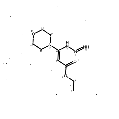 CCOC(=O)/C=C(\NN=N)N1CCOCC1